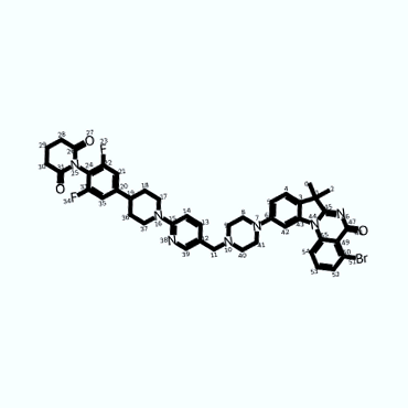 CC1(C)c2ccc(N3CCN(Cc4ccc(N5CCC(c6cc(F)c(N7C(=O)CCCC7=O)c(F)c6)CC5)nc4)CC3)cc2-n2c1nc(=O)c1c(Br)cccc12